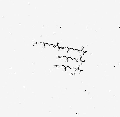 C=C(C)C(=O)OCCCC(=O)CC(=O)[O-].C=C(C)C(=O)OCCCC(=O)CC(=O)[O-].C=C(C)C(=O)OCCCC(=O)CC(=O)[O-].C=C(C)C(=O)OCCCC(=O)CC(=O)[O-].[Zr+4]